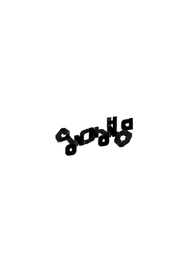 O=C(CN1CCN(C(=O)C2C=CC=C2)CC1)Nc1ccccc1Cl